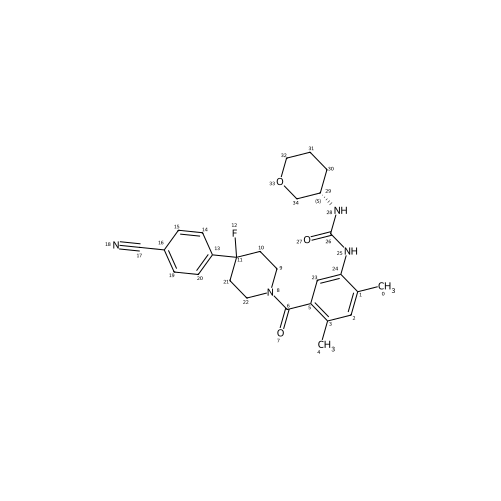 Cc1cc(C)c(C(=O)N2CCC(F)(c3ccc(C#N)cc3)CC2)cc1NC(=O)N[C@H]1CCCOC1